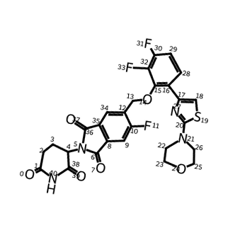 O=C1CCC(N2C(=O)c3cc(F)c(COc4c(-c5csc(N6CCOCC6)n5)ccc(F)c4F)cc3C2=O)C(=O)N1